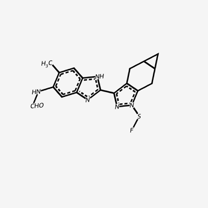 Cc1cc2[nH]c(-c3nn(SF)c4c3CC3CC3C4)nc2cc1NC=O